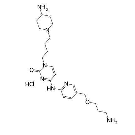 Cl.NCCCOCc1ccc(Nc2ccn(CCCCN3CCC(N)CC3)c(=O)n2)nc1